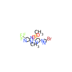 CCS(=O)(=O)c1cc(-n2cc(Br)cn2)cnc1-c1nc2cc(C(F)(F)F)ncc2n1C